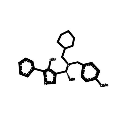 CCCC[C@H](c1cnc(-c2ccccc2)n1CCCC)N(Cc1ccc(OC)cc1)CC1CCCCC1